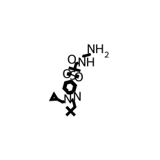 CC(C)(C)Cc1nc2cc(S(=O)(=O)C(C)(C)C(=O)NCCN)ccc2n1CC1CC1